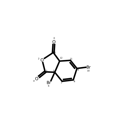 O=C1OC(=O)C2(Br)C=CC(Br)=CC12